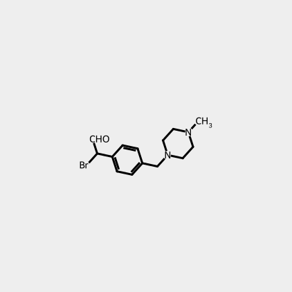 CN1CCN(Cc2ccc(C(Br)C=O)cc2)CC1